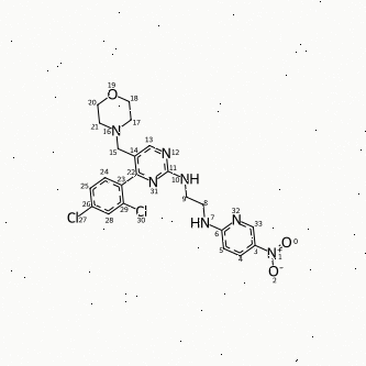 O=[N+]([O-])c1ccc(NCCNc2ncc(CN3CCOCC3)c(-c3ccc(Cl)cc3Cl)n2)nc1